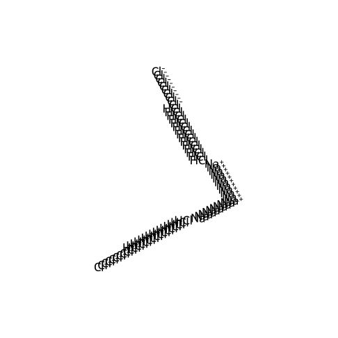 Cl.Cl.Cl.Cl.Cl.Cl.Cl.Cl.Cl.Cl.Cl.Cl.Cl.Cl.Cl.Cl.Cl.Cl.Cl.Cl.Cl.Cl.Cl.Cl.Cl.Cl.Cl.Cl.Cl.Cl.[Cl-].[Cl-].[Cl-].[Cl-].[Cl-].[Cl-].[Cl-].[Cl-].[Cl-].[Cl-].[Cl-].[Cl-].[Cl-].[Cl-].[Cl-].[Cl-].[Cl-].[Cl-].[Cl-].[Cl-].[Na+].[Na+].[Na+].[Na+].[Na+].[Na+].[Na+].[Na+].[Na+].[Na+].[Na+].[Na+].[Na+].[Na+].[Na+].[Na+].[Na+].[Na+].[Na+].[Na+]